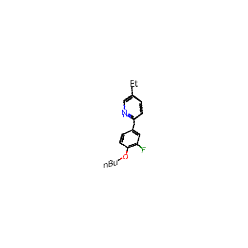 CCCCOc1ccc(-c2ccc(CC)cn2)cc1F